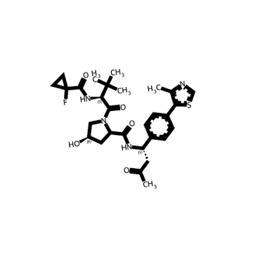 CC(=O)C[C@H](NC(=O)C1C[C@@H](O)CN1C(=O)[C@@H](NC(=O)C1(F)CC1)C(C)(C)C)c1ccc(-c2scnc2C)cc1